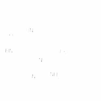 Nc1ncc2c(n1)-c1c([nH]c3ccc(C4(O)CCCC4)cc13)C(=O)NC2